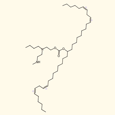 CCCCC/C=C\C/C=C\CCCCCCCCC(CCCCCCCC/C=C\C/C=C\CCCCC)OC(=O)OCCN(CCCC)CCNC